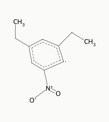 CCc1[c]c([N+](=O)[O-])cc(CC)c1